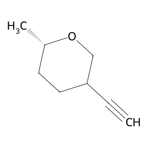 C#CC1CC[C@H](C)OC1